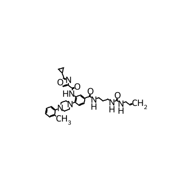 C=CCNC(=O)NCCCNC(=O)c1ccc(N2CCN(c3ccccc3C)CC2)c(NC(=O)c2coc(C3CC3)n2)c1